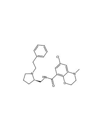 CN1CCOc2c(C(=O)NC[C@H]3CCCN3CCc3ccccc3)cc(Cl)cc21